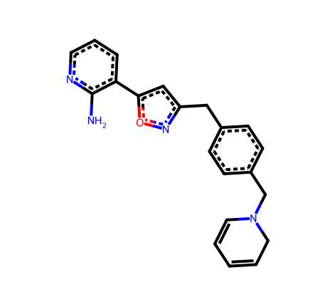 Nc1ncccc1-c1cc(Cc2ccc(CN3C=CC=CC3)cc2)no1